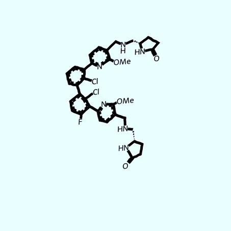 COc1nc(-c2cccc(-c3ccc(F)c(-c4ccc(CNC[C@@H]5CCC(=O)N5)c(OC)n4)c3Cl)c2Cl)ccc1CNC[C@@H]1CCC(=O)N1